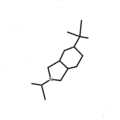 CC(C)N1CC2CCC(C(C)(C)C)CC2C1